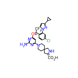 Nc1nc(O[C@H](c2ccc(Cl)cc2-n2ccc(C3CC3)n2)C(F)(F)F)cc(N2CCC3(CC2)CN[C@H](C(=O)O)C3)n1